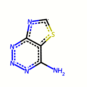 Nc1nnnc2n[c]sc12